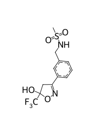 CS(=O)(=O)NCc1cccc(C2=NOC(O)(C(F)(F)F)C2)c1